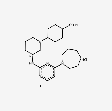 Cl.Cl.O=C(O)C1CCC(N2CCC[C@H](Nc3nccc(N4CCCCCC4)n3)C2)CC1